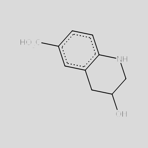 O=C(O)c1ccc2c(c1)CC(O)CN2